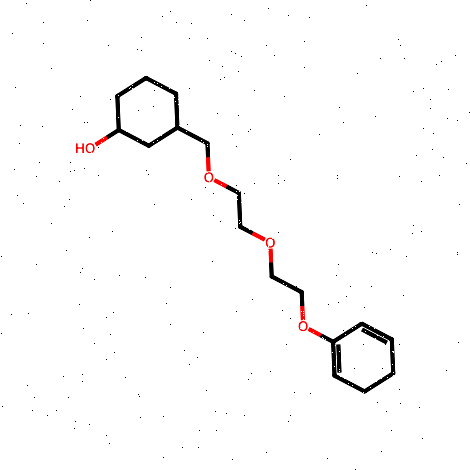 OC1CCCC(COCCOCCOC2=CCCC=C2)C1